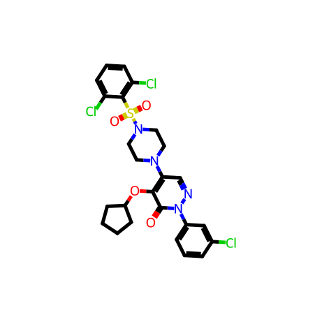 O=c1c(OC2CCCC2)c(N2CCN(S(=O)(=O)c3c(Cl)cccc3Cl)CC2)cnn1-c1cccc(Cl)c1